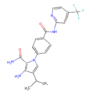 CC(C)c1cn(-c2ccc(C(=O)Nc3cc(C(F)(F)F)ccn3)cc2)c(C(N)=O)c1N